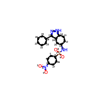 O=[N+]([O-])c1ccc(S(=O)(=O)Nc2ccc3[nH]nc(-c4ccccc4)c3c2)cc1